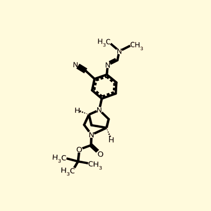 CN(C)/C=N/c1ccc(N2C[C@@H]3C[C@H]2CN3C(=O)OC(C)(C)C)cc1C#N